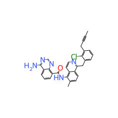 CC#CCc1cccc(Cc2nccc3c(NC(=O)c4cccc5c(N)ncnc45)c(C)ccc23)c1Cl